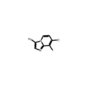 CC(=O)c1cnc2c(I)c(Cl)ccn12